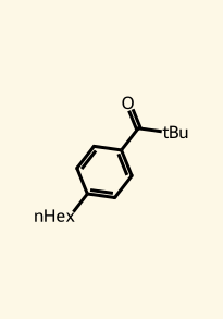 CCCCCCc1ccc(C(=O)C(C)(C)C)cc1